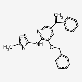 C=C(c1ccccc1)c1cnc(Nc2nc(C)cs2)c(OCc2ccccc2)c1